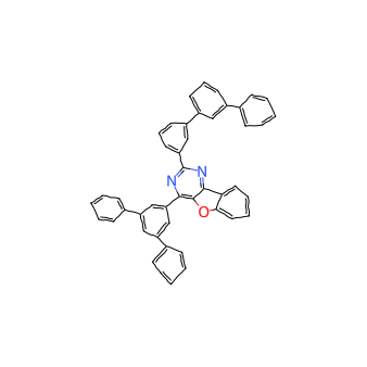 c1ccc(-c2cccc(-c3cccc(-c4nc(-c5cc(-c6ccccc6)cc(-c6ccccc6)c5)c5oc6ccccc6c5n4)c3)c2)cc1